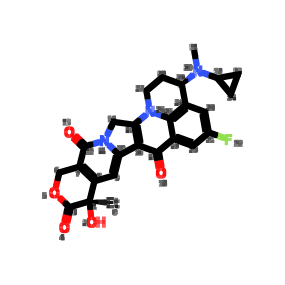 CC[C@@]1(O)C(=O)OCc2c1cc1n(c2=O)Cc2c-1c(=O)c1cc(F)cc3c1n2CC[C@H]3N(C)C1CC1